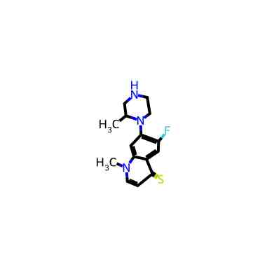 CC1CNCCN1c1cc2c(cc1F)c(=S)ccn2C